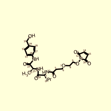 CC(C)[C@H](NC(=O)CCOCCON1C(=O)C=CC1=O)C(=O)N[C@@H](C)C(=O)Nc1ccc(CO)cc1